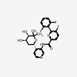 CC1(C)O[C@H](c2ccncc2NC(=O)c2ccc(F)c(-c3c(F)cccc3F)n2)C[C@@H](O)[C@H]1O